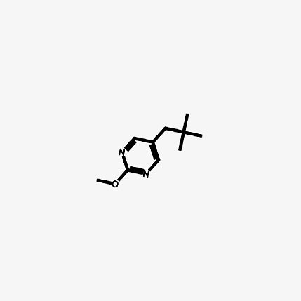 COc1ncc(CC(C)(C)C)cn1